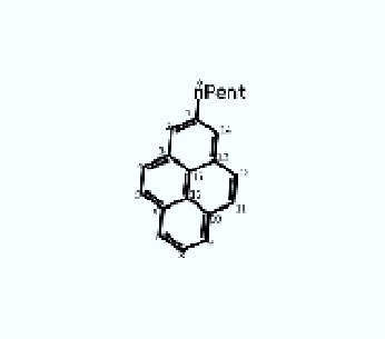 CCCCCc1cc2ccc3cccc4ccc(c1)c2c34